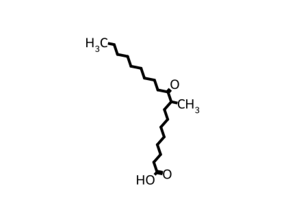 CCCCCCCCCC(=O)C(C)CCCCCCCC(=O)O